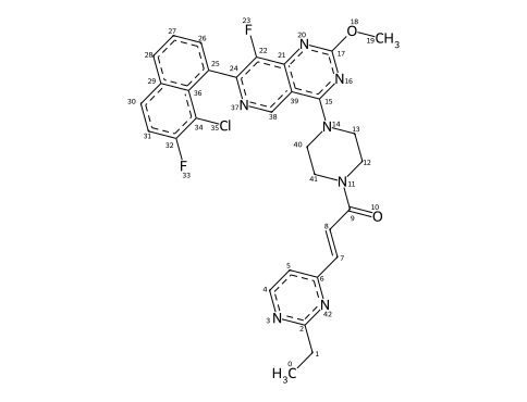 CCc1nccc(/C=C/C(=O)N2CCN(c3nc(OC)nc4c(F)c(-c5cccc6ccc(F)c(Cl)c56)ncc34)CC2)n1